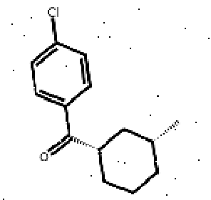 C[C@@H]1CCC[C@H](C(=O)c2ccc(Cl)cc2)C1